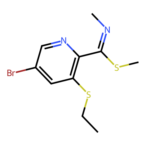 CCSc1cc(Br)cnc1/C(=N\C)SC